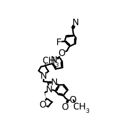 COC(=O)c1ccc2nc(CN3CC[C@@](C)(c4cccc(OCc5ccc(C#N)cc5F)n4)C3)n(C[C@@H]3CCO3)c2c1